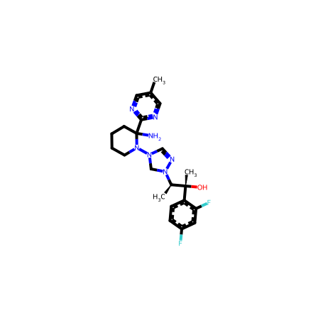 Cc1cnc(C2(N)CCCCN2N2C=NN([C@H](C)[C@](C)(O)c3ccc(F)cc3F)C2)nc1